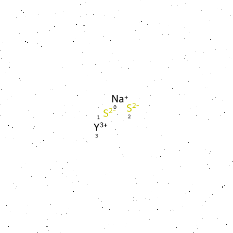 [Na+].[S-2].[S-2].[Y+3]